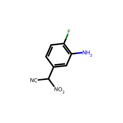 N#CC(c1ccc(F)c(N)c1)[N+](=O)[O-]